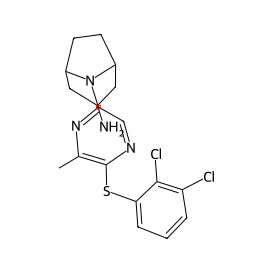 Cc1nc(N2C3CCC2CC(N)C3)cnc1Sc1cccc(Cl)c1Cl